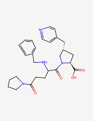 O=C(O)[C@@H]1C[C@@H](Cc2ccncc2)CN1C(=O)C(CCC(=O)N1CCCC1)NCc1ccccc1